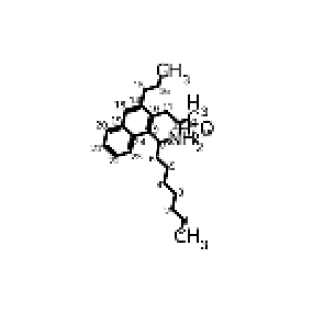 CCCCCCCC(N)c1c(CCC)c(CCC)cc2ccccc12.O